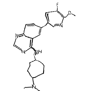 COc1ncc(-c2ccc3ncnc(NC4CCC(N(C)C)CC4)c3c2)cc1F